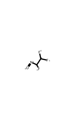 O=NC(F)C(F)F